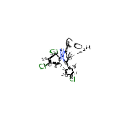 C[C@H]1C(C(=O)O)=NN(c2ccc(Cl)cc2Cl)[C@@H]1c1ccc(Cl)cc1